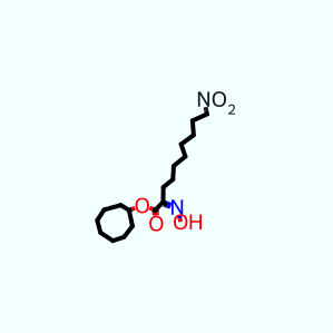 O=C(OC1CCCCCCC1)/C(CCCCCCCC[N+](=O)[O-])=N\O